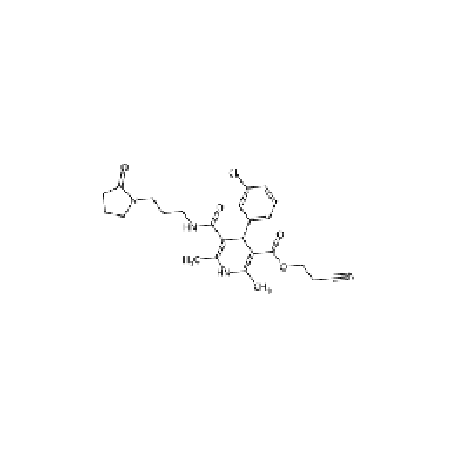 CC1=C(C(=O)NCCCN2CCCC2=O)C(c2cccc(Cl)c2)C(C(=O)OCCC#N)=C(C)N1